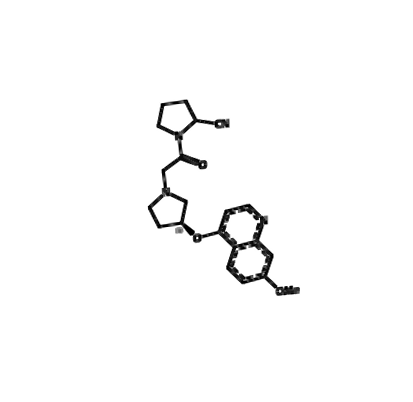 COc1ccc2c(O[C@H]3CCN(CC(=O)N4CCCC4C#N)C3)ccnc2c1